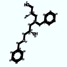 OC[C@@H](F)CN(Cc1ccccc1)C[C@H](O)COCc1ccccc1